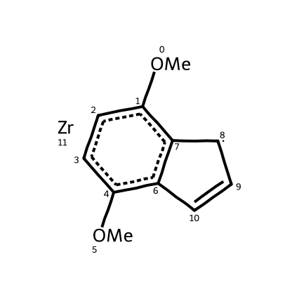 COc1ccc(OC)c2c1[CH]C=C2.[Zr]